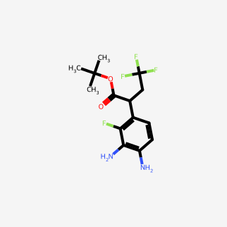 CC(C)(C)OC(=O)C(CC(F)(F)F)c1ccc(N)c(N)c1F